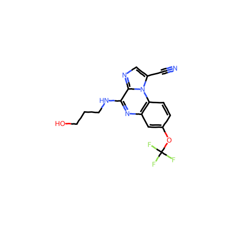 N#Cc1cnc2c(NCCCO)nc3cc(OC(F)(F)F)ccc3n12